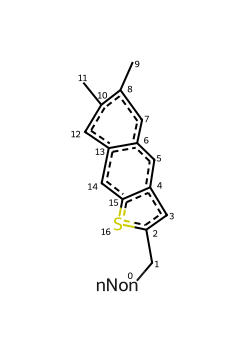 CCCCCCCCCCc1cc2cc3cc(C)c(C)cc3cc2s1